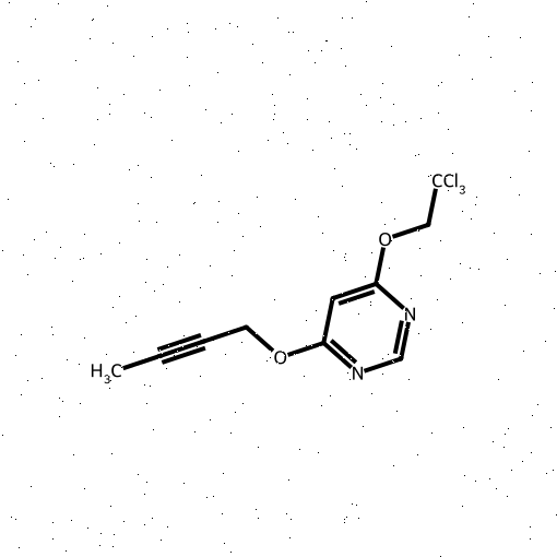 CC#CCOc1cc(OCC(Cl)(Cl)Cl)ncn1